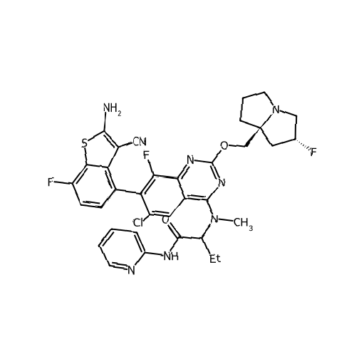 CCC(C(=O)Nc1ccccn1)N(C)c1nc(OC[C@@]23CCCN2C[C@H](F)C3)nc2c(F)c(-c3ccc(F)c4sc(N)c(C#N)c34)c(Cl)cc12